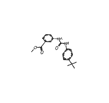 COC(=O)c1cccc(NC(=O)Nc2ccc(C(C)(C)C)cc2)c1